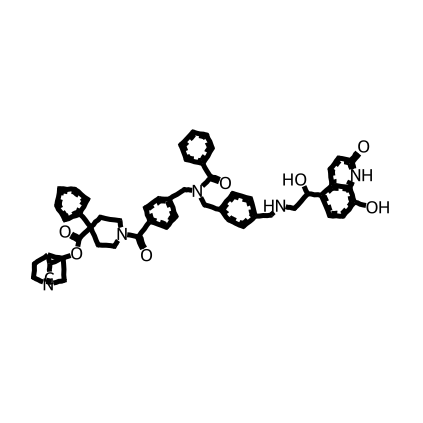 O=C(c1ccc(CN(Cc2ccc(CNCC(O)c3ccc(O)c4[nH]c(=O)ccc34)cc2)C(=O)c2ccccc2)cc1)N1CCC(C(=O)OC2CN3CCC2CC3)(c2ccccc2)CC1